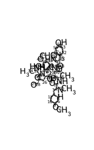 CN/C(=C\c1ccc(OC)cc1)C(=O)N[C@@H](C)C(=O)[C@@](C=O)(C(C(=O)[C@H](/C=C/C=O)NC(=O)[C@@H](C)N)c1ccc(OC)c(O)c1)N(C)C(=O)[C@H](Cc1ccc(O)cc1)NC